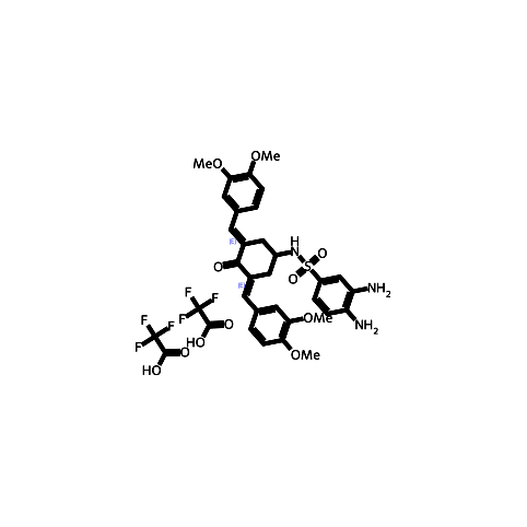 COc1ccc(/C=C2\CC(NS(=O)(=O)c3ccc(N)c(N)c3)C/C(=C\c3ccc(OC)c(OC)c3)C2=O)cc1OC.O=C(O)C(F)(F)F.O=C(O)C(F)(F)F